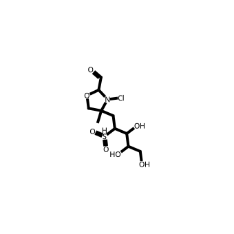 CC1(CC(C(O)C(O)CO)[SH](=O)=O)COC(C=O)N1Cl